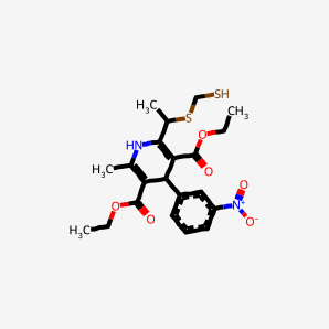 CCOC(=O)C1=C(C)NC(C(C)SCS)=C(C(=O)OCC)C1c1cccc([N+](=O)[O-])c1